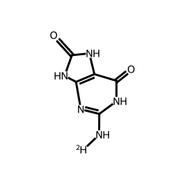 [2H]Nc1nc2[nH]c(=O)[nH]c2c(=O)[nH]1